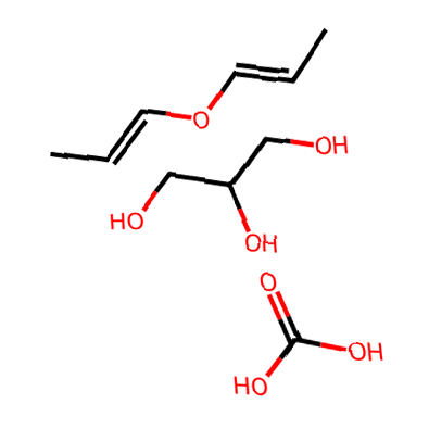 CC=COC=CC.O=C(O)O.OCC(O)CO